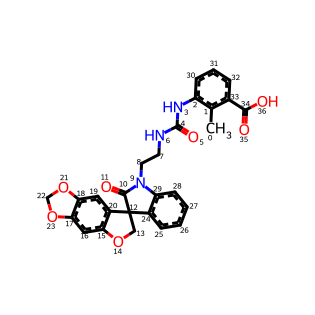 Cc1c(NC(=O)NCCN2C(=O)C3(COc4cc5c(cc43)OCO5)c3ccccc32)cccc1C(=O)O